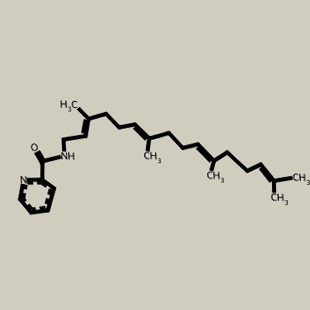 CC(C)=CCC/C(C)=C/CC/C(C)=C/CC/C(C)=C/CNC(=O)c1ccccn1